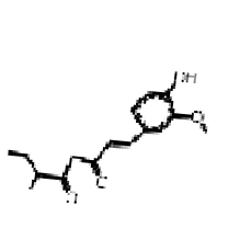 CCC(C)C(=O)CC(=O)C=Cc1ccc(O)c(OC)c1